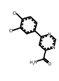 NC(=O)c1cc(-c2ccc(Cl)c(Cl)c2)ncn1